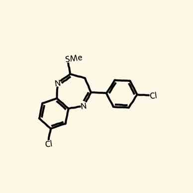 CSC1=Nc2ccc(Cl)cc2N=C(c2ccc(Cl)cc2)C1